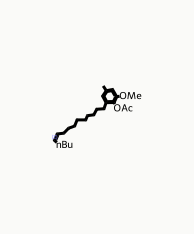 CCCC/C=C\CCCCCCCCCc1cc(C)cc(OC)c1OC(C)=O